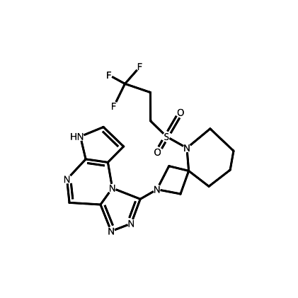 O=S(=O)(CCC(F)(F)F)N1CCCCC12CN(c1nnc3cnc4[nH]ccc4n13)C2